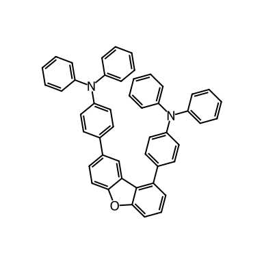 c1ccc(N(c2ccccc2)c2ccc(-c3ccc4oc5cccc(-c6ccc(N(c7ccccc7)c7ccccc7)cc6)c5c4c3)cc2)cc1